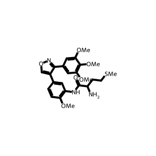 COc1ccc(-c2conc2-c2cc(OC)c(OC)c(OC)c2)cc1NC(=O)C(N)CCSC